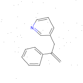 C=C(Cc1cccnc1)c1ccccc1